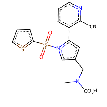 CN(Cc1cc(-c2cccnc2C#N)n(S(=O)(=O)c2cccs2)c1)C(=O)O